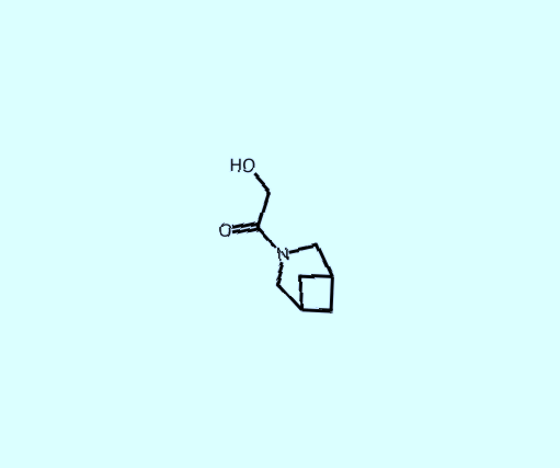 O=C(CO)N1CC2CC(C2)C1